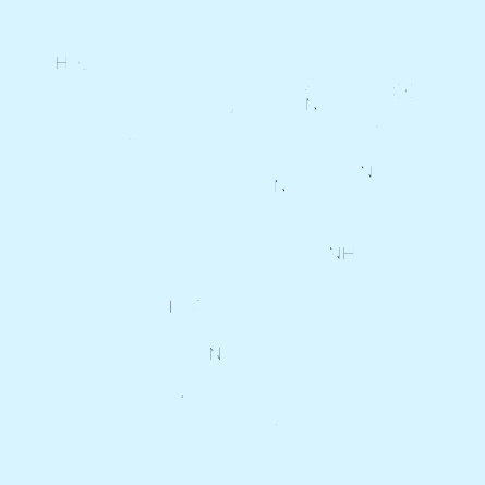 Cc1ccc(-c2nc(NCCC3CCCN3C)nc(C(Cl)(Cl)Cl)n2)cc1